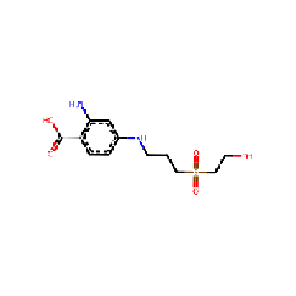 Nc1cc(NCCCS(=O)(=O)CCO)ccc1C(=O)O